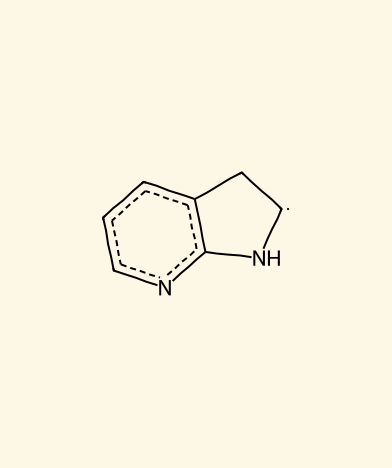 [CH]1Cc2cccnc2N1